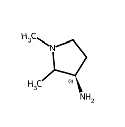 CC1[C@H](N)CCN1C